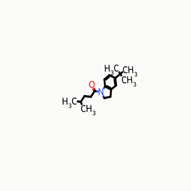 CC(C)CCC(=O)N1CCc2cc(C(C)(C)C)ccc21